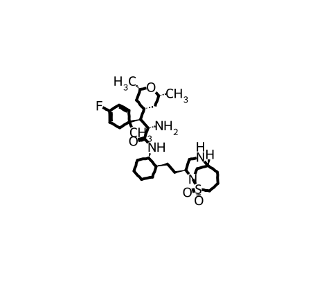 C[C@@H]1C[C@H]([C@@H]([C@H](N)C(=O)N[C@H]2CCCC[C@@H]2CC[C@H]2CN[C@@H]3CCCS(=O)(=O)N2C3)C2(C)C=CC(F)=CC2)C[C@H](C)O1